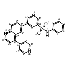 O=S(=O)(Nc1ccccc1)c1cncc(-c2ccc3nccc(-c4ccncc4)c3c2)c1